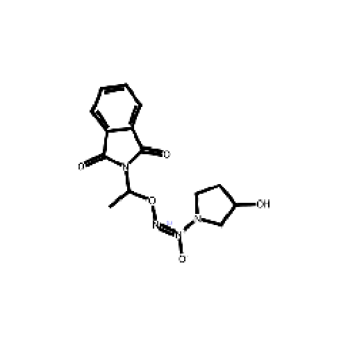 CC(O/N=[N+](/[O-])N1CCC(O)C1)N1C(=O)c2ccccc2C1=O